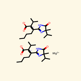 CCCC/C(C1=NC(C)(C(C)C)C(=O)N1)=C(\C(=O)[O-])C(C)C.CCCC/C(C1=NC(C)(C(C)C)C(=O)N1)=C(\C(=O)[O-])C(C)C.[Mg+2]